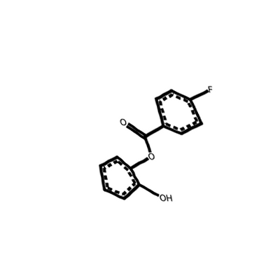 O=C(Oc1ccccc1O)c1ccc(F)cc1